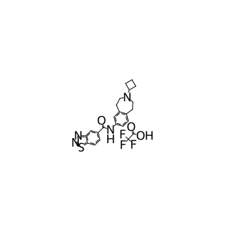 O=C(Nc1ccc2c(c1)CCN(C1CCC1)CC2)c1ccc2snnc2c1.O=C(O)C(F)(F)F